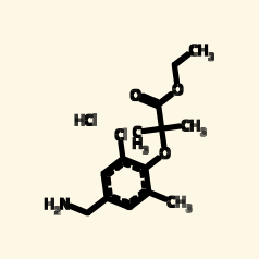 CCOC(=O)C(C)(C)Oc1c(C)cc(CN)cc1Cl.Cl